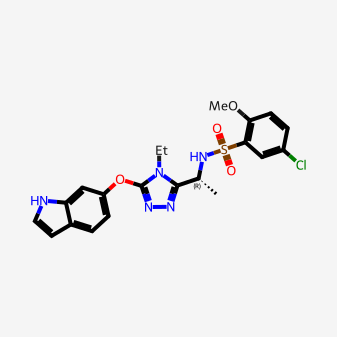 CCn1c(Oc2ccc3cc[nH]c3c2)nnc1[C@@H](C)NS(=O)(=O)c1cc(Cl)ccc1OC